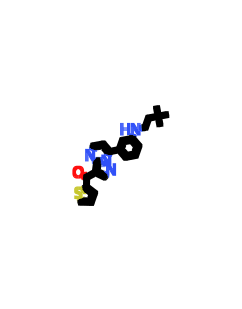 CC(C)(C)CCNc1cccc(-c2ccnc3c(C(=O)c4cccs4)cnn23)c1